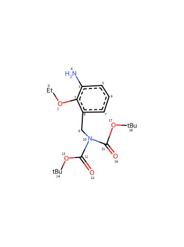 CCOc1c(N)cccc1CN(C(=O)OC(C)(C)C)C(=O)OC(C)(C)C